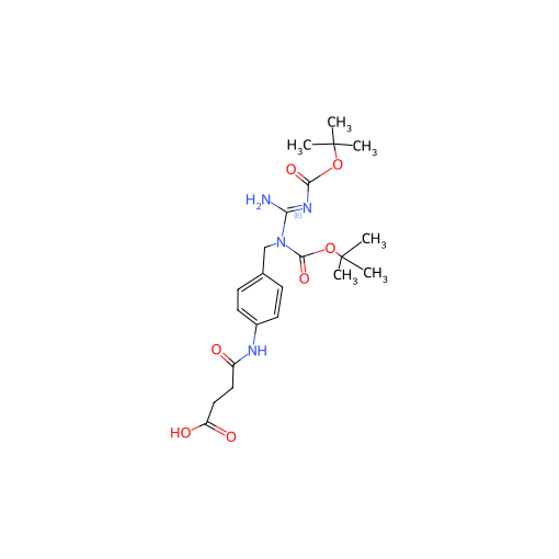 CC(C)(C)OC(=O)/N=C(\N)N(Cc1ccc(NC(=O)CCC(=O)O)cc1)C(=O)OC(C)(C)C